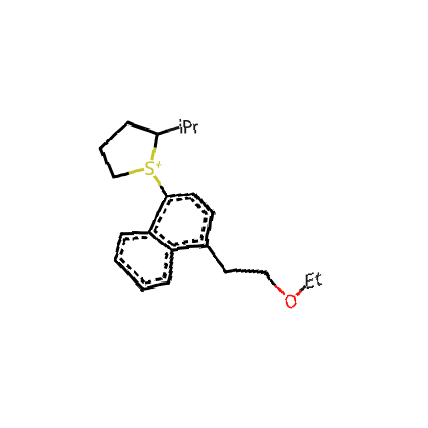 CCOCCc1ccc([S+]2CCCC2C(C)C)c2ccccc12